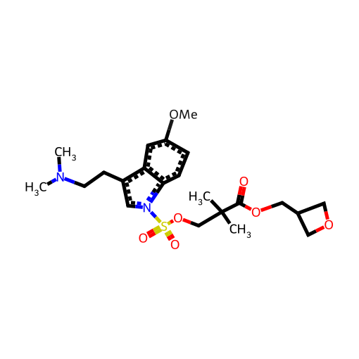 COc1ccc2c(c1)c(CCN(C)C)cn2S(=O)(=O)OCC(C)(C)C(=O)OCC1COC1